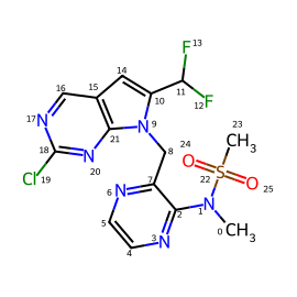 CN(c1nccnc1Cn1c(C(F)F)cc2cnc(Cl)nc21)S(C)(=O)=O